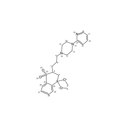 COC1(OC)CC(CCCN2CCN(c3ccccn3)CC2)S(=O)(=O)c2ccccc21